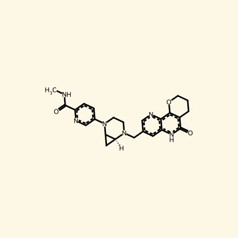 CNC(=O)c1ccc(N2CCN(Cc3cnc4c5c(c(=O)[nH]c4c3)CCCO5)[C@H]3CC32)cn1